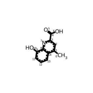 Cc1cc(C(=O)O)nc2c(O)cccc12